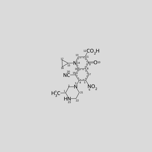 CC1CN(c2c([N+](=O)[O-])cc3c(=O)c(C(=O)O)cn(C4CC4)c3c2C#N)CCN1